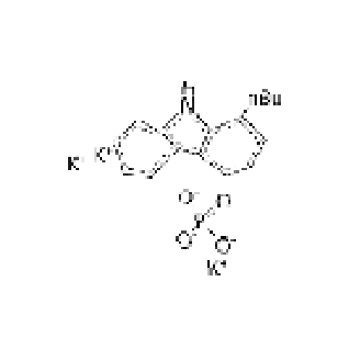 CCCCc1cccc2c1[nH]c1ccccc12.O=P([O-])([O-])[O-].[K+].[K+].[K+]